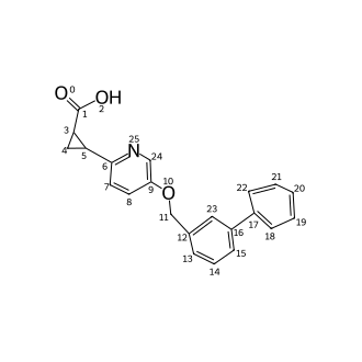 O=C(O)C1CC1c1ccc(OCc2cccc(-c3ccccc3)c2)cn1